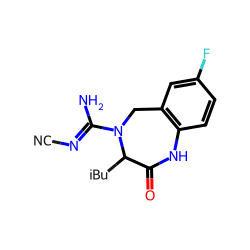 CCC(C)C1C(=O)Nc2ccc(F)cc2CN1C(N)=NC#N